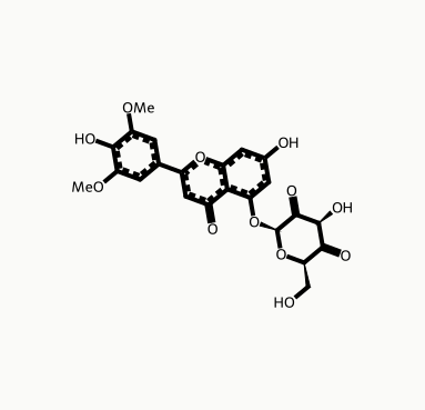 COc1cc(-c2cc(=O)c3c(O[C@@H]4O[C@H](CO)C(=O)[C@H](O)C4=O)cc(O)cc3o2)cc(OC)c1O